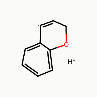 [C]1=CCOc2ccccc21.[H+]